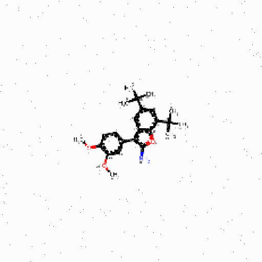 COc1ccc(-c2c(N)oc3c(C(C)(C)C)cc(C(C)(C)C)cc23)cc1OC